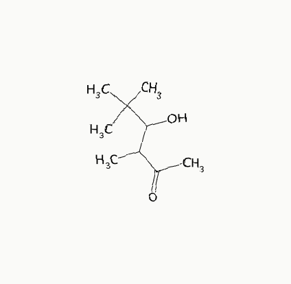 CC(=O)C(C)C(O)C(C)(C)C